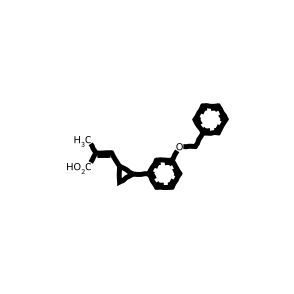 C/C(=C/C1CC1c1cccc(OCc2ccccc2)c1)C(=O)O